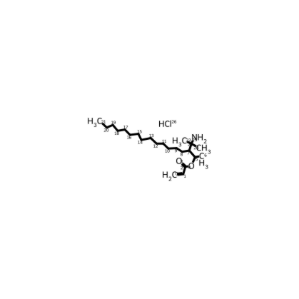 C=CC(=O)OC(C)C(CCCCCCCCCCCCCC)C(C)(C)N.Cl